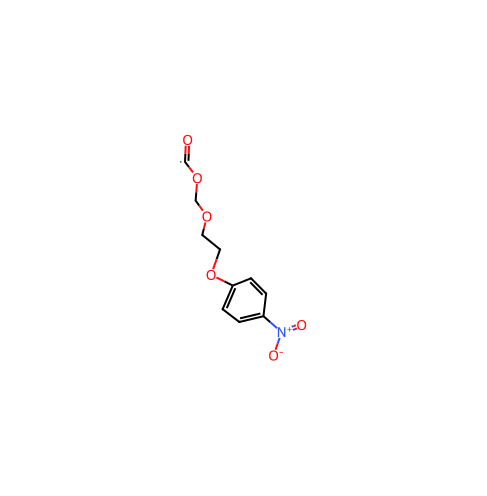 O=[C]OCOCCOc1ccc([N+](=O)[O-])cc1